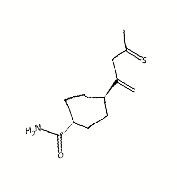 C=C(CC(C)=S)[C@H]1CC[C@H](C(N)=O)CC1